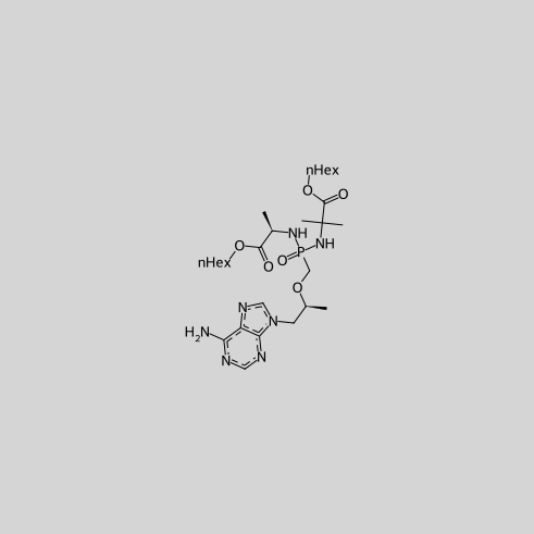 CCCCCCOC(=O)[C@@H](C)NP(=O)(CO[C@@H](C)Cn1cnc2c(N)ncnc21)NC(C)(C)C(=O)OCCCCCC